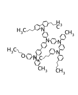 CCCCOc1ccc(N(c2ccc(C)cc2)c2ccc(-c3ccc(N(c4ccc(N(c5ccc(C)cc5)c5cccc(N(c6cccc(CCCC)c6)c6cccc(CCCC)c6)c5)cc4)c4ccc(-n5c6cc(CCCC)ccc6c6ccc(CCCC)cc65)cc4)cc3)cc2)cc1